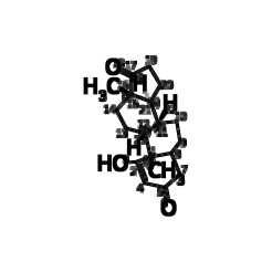 C[C@]12C(O)=CC(=O)CC1CC[C@@H]1[C@H]2CC[C@]2(C)C(=O)CC[C@@H]12